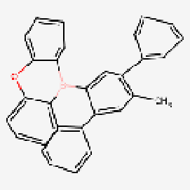 Cc1cc(-c2ccccc2)c(B2c3ccccc3Oc3ccccc32)cc1-c1ccccc1